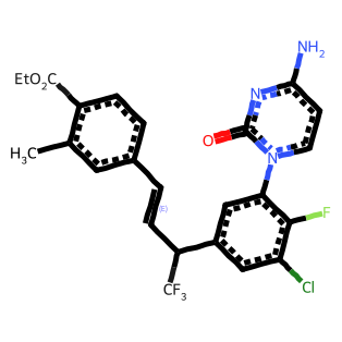 CCOC(=O)c1ccc(/C=C/C(c2cc(Cl)c(F)c(-n3ccc(N)nc3=O)c2)C(F)(F)F)cc1C